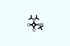 CC(C)N(c1c(NC(C)(C)C)c(=O)c1=O)C(C)C